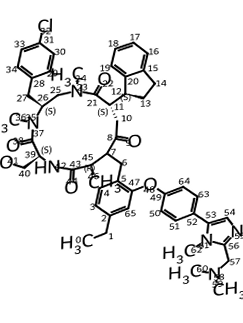 CCc1ccc(CC2C(=O)C[C@@H]([C@@H]3CCc4ccccc43)C(=O)N(C)C[C@H](Cc3ccc(Cl)cc3)N(C)C(=O)[C@H](CO)NC(=O)[C@@H]2C)c(Oc2ccc(-c3cnc(CN(C)C)n3C)cc2)c1